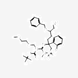 COCCOCN(C(=O)OC(C)(C)C)C1=NC(CCC(CO)OCc2ccccc2)(c2ccccc2F)CS(=O)(=O)N1C